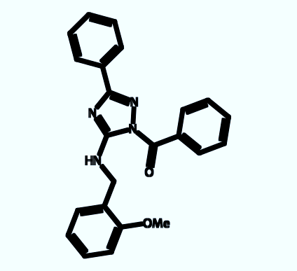 COc1ccccc1CNc1nc(-c2ccccc2)nn1C(=O)c1ccccc1